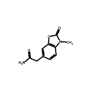 Cn1c(=O)oc2cc(CC(N)=O)ccc21